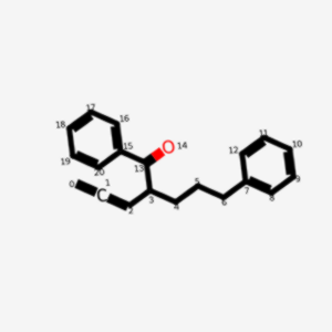 C=C=CC(CCCc1ccccc1)C(=O)c1ccccc1